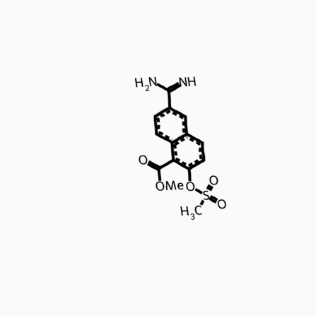 COC(=O)c1c(OS(C)(=O)=O)ccc2cc(C(=N)N)ccc12